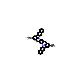 CC(C)(C)c1cc2c3c(c1)c1cc4ccccc4cc1n3-c1cc3c(cc1C2)-n1c2cc4ccccc4cc2c2cc(C(C)(C)C)cc(c21)C3